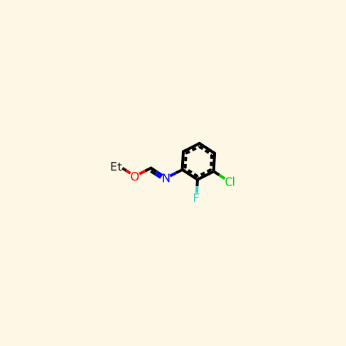 CCOC=Nc1cccc(Cl)c1F